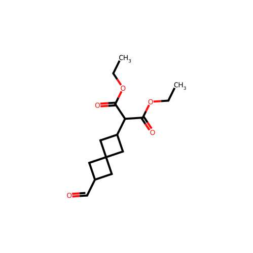 CCOC(=O)C(C(=O)OCC)C1CC2(CC(C=O)C2)C1